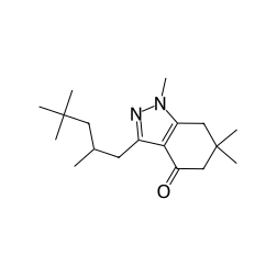 CC(Cc1nn(C)c2c1C(=O)CC(C)(C)C2)CC(C)(C)C